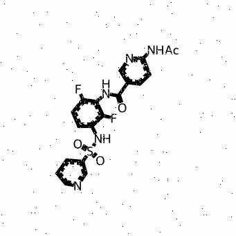 CC(=O)Nc1ccc(C(=O)Nc2c(F)ccc(NS(=O)(=O)c3cccnc3)c2F)cn1